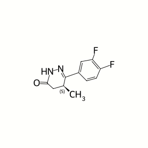 C[C@H]1CC(=O)NN=C1c1ccc(F)c(F)c1